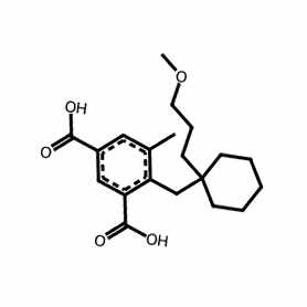 COCCCC1(Cc2c(C)cc(C(=O)O)cc2C(=O)O)CCCCC1